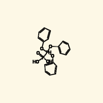 O=P(O)(O)[PH](Oc1ccccc1)(Oc1ccccc1)Oc1ccccc1